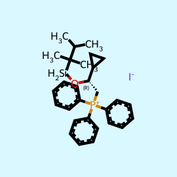 CC(C)C(C)(C)[SiH2]O[C@@H](C[P+](c1ccccc1)(c1ccccc1)c1ccccc1)C1CC1.[I-]